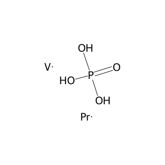 O=P(O)(O)O.[Pr].[V]